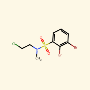 CN(CCCl)S(=O)(=O)c1cccc(Br)c1Br